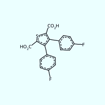 O=C(O)c1sc(C(=O)O)c(-c2ccc(F)cc2)c1-c1ccc(F)cc1